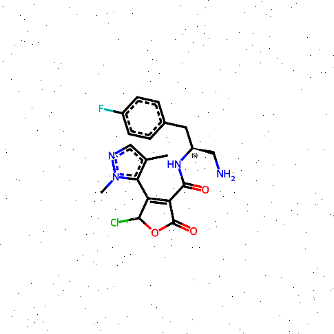 Cc1cnn(C)c1C1=C(C(=O)N[C@H](CN)Cc2ccc(F)cc2)C(=O)OC1Cl